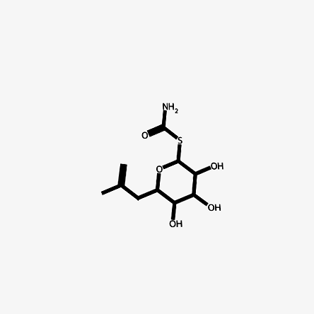 C=C(C)[CH]C1OC(SC(N)=O)C(O)C(O)C1O